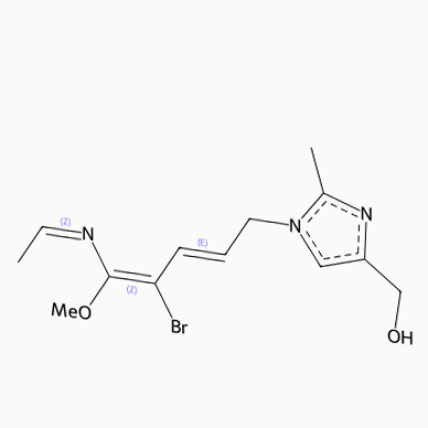 C\C=N/C(OC)=C(Br)\C=C\Cn1cc(CO)nc1C